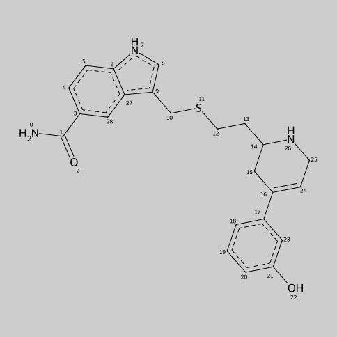 NC(=O)c1ccc2[nH]cc(CSCCC3CC(c4cccc(O)c4)=CCN3)c2c1